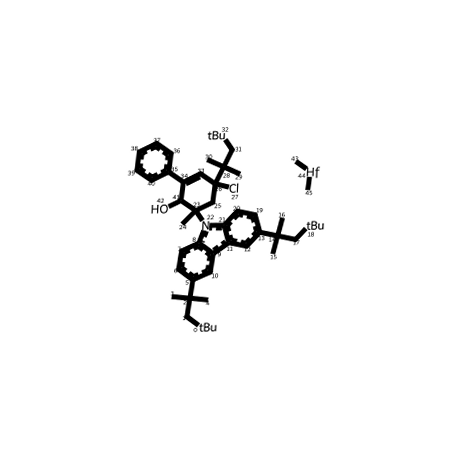 CC(C)(C)CC(C)(C)c1ccc2c(c1)c1cc(C(C)(C)CC(C)(C)C)ccc1n2C1(C)CC(Cl)(C(C)(C)CC(C)(C)C)C=C(c2ccccc2)C1O.[CH3][Hf][CH3]